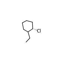 CCC1CCCC[C@@H]1Cl